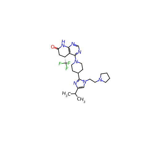 CC(C)c1cn(CCN2CCCC2)c(C2CCN(c3ncnc4c3[C@H](C(F)(F)F)CC(=O)N4)CC2)n1